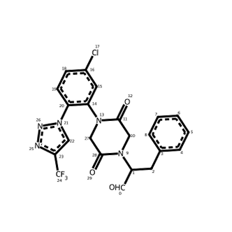 O=CC(Cc1ccccc1)N1CC(=O)N(c2cc(Cl)ccc2-n2cc(C(F)(F)F)nn2)CC1=O